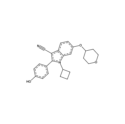 N#Cc1c(-c2ccc(O)cc2)n(C2CCC2)c2cc(OC3CCOCC3)ccc12